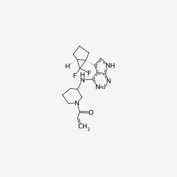 C=CC(=O)N1CCCC(Nc2ncnc3[nH]cc([C@@]45CCC[C@@H]4C5(F)F)c23)C1